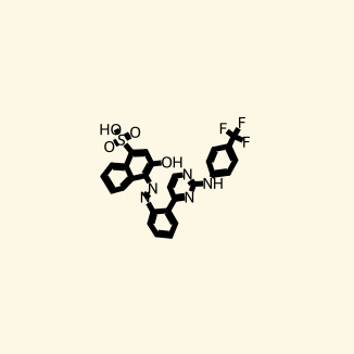 O=S(=O)(O)c1cc(O)c(N=Nc2ccccc2-c2ccnc(Nc3ccc(C(F)(F)F)cc3)n2)c2ccccc12